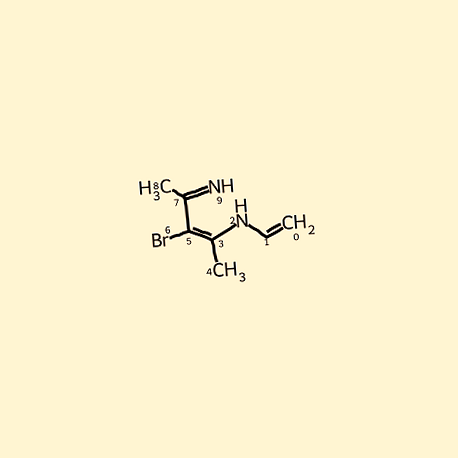 C=CN/C(C)=C(/Br)C(C)=N